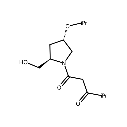 CC(C)O[C@H]1C[C@H](CO)N(C(=O)CC(=O)C(C)C)C1